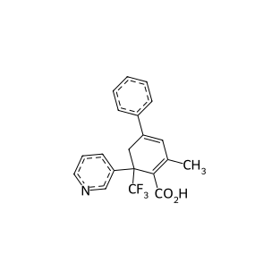 CC1=C(C(=O)O)C(c2cccnc2)(C(F)(F)F)CC(c2ccccc2)=C1